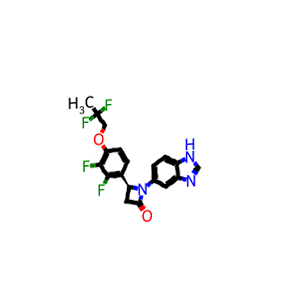 CC(F)(F)COc1ccc([C@@H]2CC(=O)N2c2ccc3[nH]cnc3c2)c(F)c1F